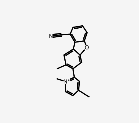 Cc1cc[n+](C)c(-c2cc3oc4cccc(C#N)c4c3cc2C)c1